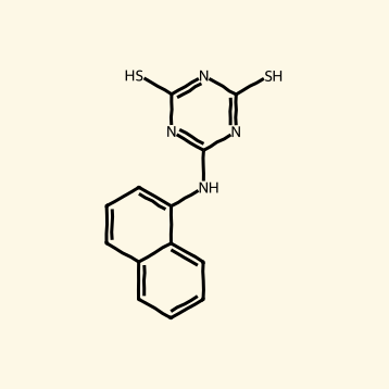 Sc1nc(S)nc(Nc2cccc3ccccc23)n1